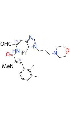 CN/C(=C\c1cccc(C)c1C)C(=O)N/C(C=O)=C\c1ncn(CCCN2CCOCC2)c1C(C)C